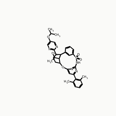 Cc1cccc(C)c1-c1cc2nc(n1)NS(=O)(=O)c1cccc(c1)C1C(c3ncc(OC(C)C)cn3)CCC(O2)C1C(C)C